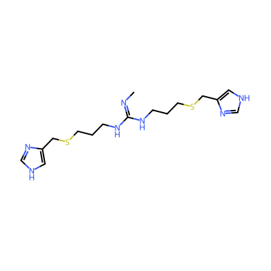 CN=C(NCCCSCc1c[nH]cn1)NCCCSCc1c[nH]cn1